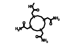 CNC(=O)CN1CCN(CC(N)=O)CCN(CC(N)=O)CCN(CC(N)=O)CC1